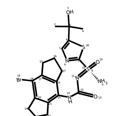 CC(C)(O)c1cnc([S@@](N)(=O)=NC(=O)Nc2c3c(c(Br)c4c2CCC4)CCC3)s1